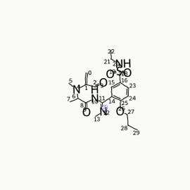 C=C(C=O)N(C)C(C)C(=O)N/C(=N\C)c1cc(S(=O)(=O)NCC)ccc1OCCC